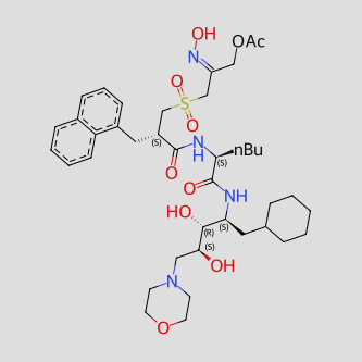 CCCC[C@H](NC(=O)[C@H](Cc1cccc2ccccc12)CS(=O)(=O)CC(COC(C)=O)=NO)C(=O)N[C@@H](CC1CCCCC1)[C@@H](O)[C@@H](O)CN1CCOCC1